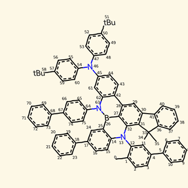 Cc1ccc(-c2ccccc2)cc1N1c2ccc(-c3ccccc3)cc2B2c3c(cc4c(c31)C(C)(C)c1ccccc1-4)-c1ccc(N(c3ccc(C(C)(C)C)cc3)c3ccc(C(C)(C)C)cc3)cc1N2c1ccc(-c2ccccc2)cc1